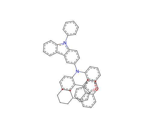 c1ccc(-n2c3ccccc3c3cc(N(c4ccccc4-c4cccc5cccc(C6CCCCC6)c45)c4cccc5oc6ccccc6c45)ccc32)cc1